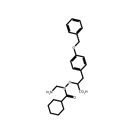 NCN(OC(Cc1ccc(OCc2ccccc2)cc1)C(=O)O)C(=O)C1CCCCC1